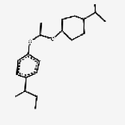 CCC(C)c1ccc(OC(C)OC2CCC(C(C)C)CC2)cc1